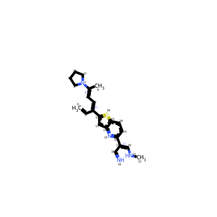 C=C/C(=C\C=C(/C)N1CCCC1)c1cc2nc(/C(C=N)=C/NC)ccc2s1